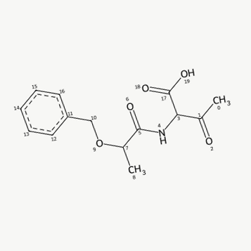 CC(=O)C(NC(=O)C(C)OCc1ccccc1)C(=O)O